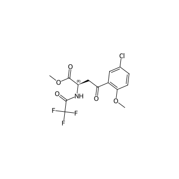 COC(=O)[C@@H](CC(=O)c1cc(Cl)ccc1OC)NC(=O)C(F)(F)F